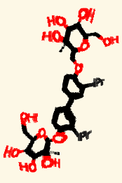 CC(C)c1cc(-c2ccc(O[C@H]3O[C@H](CO)[C@@H](O)[C@H](O)[C@]3(C)O)c(C(C)C)c2)ccc1OCC1O[C@H](CO)[C@@H](O)[C@H](O)[C@]1(C)O